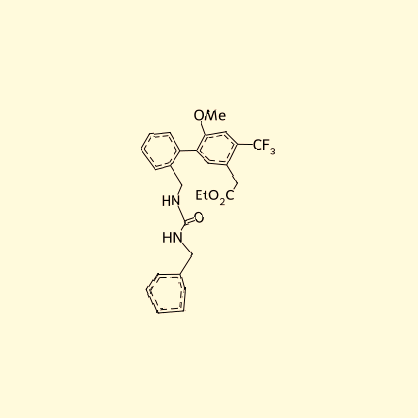 CCOC(=O)Cc1cc(-c2ccccc2CNC(=O)NCc2ccccc2)c(OC)cc1C(F)(F)F